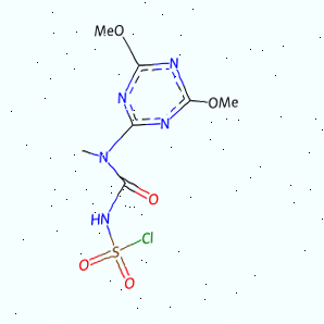 COc1nc(OC)nc(N(C)C(=O)NS(=O)(=O)Cl)n1